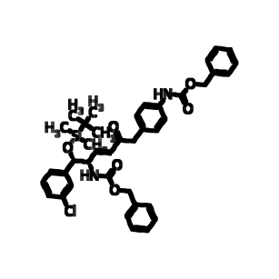 CC(C)(C)[Si](C)(C)O[C@H](c1cccc(Cl)c1)[C@@H](/C=C/C(=O)Cc1ccc(NC(=O)OCc2ccccc2)cc1)NC(=O)OCc1ccccc1